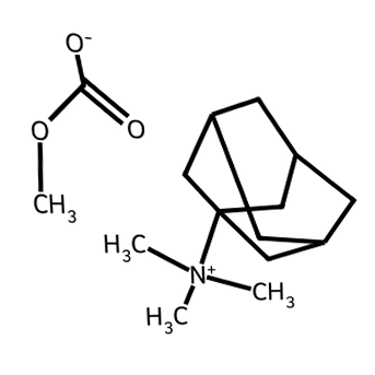 COC(=O)[O-].C[N+](C)(C)C12CC3CC(CC(C3)C1)C2